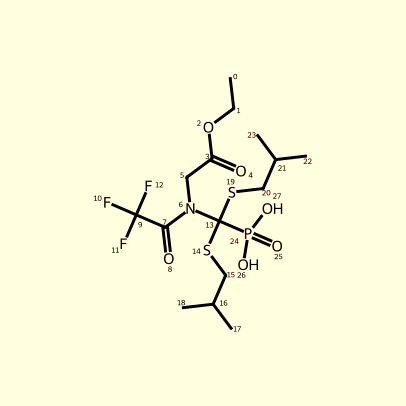 CCOC(=O)CN(C(=O)C(F)(F)F)C(SCC(C)C)(SCC(C)C)P(=O)(O)O